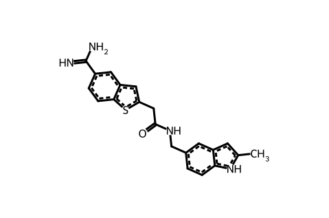 Cc1cc2cc(CNC(=O)Cc3cc4cc(C(=N)N)ccc4s3)ccc2[nH]1